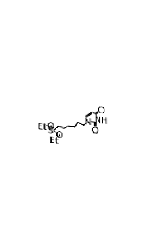 CCO[Si](C)(CCCCCCn1ccc(=O)[nH]c1=O)OCC